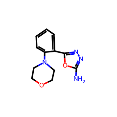 Nc1nnc(-c2ccccc2N2CCOCC2)o1